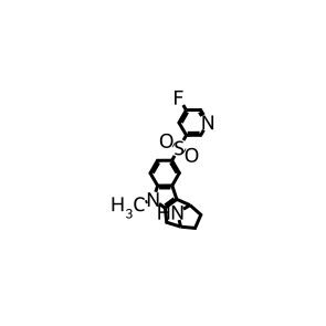 Cn1c2c(c3cc(S(=O)(=O)c4cncc(F)c4)ccc31)C1CCC(C2)N1